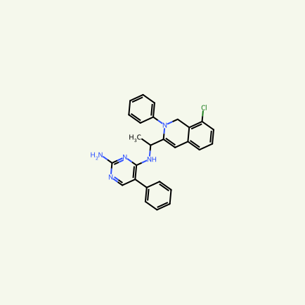 CC(Nc1nc(N)ncc1-c1ccccc1)C1=Cc2cccc(Cl)c2CN1c1ccccc1